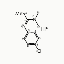 CS/C(=N/c1ccc(Cl)cc1)N(C)C.I